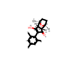 CC[C@]12CC[C@H](O1)[C@@H]1C(=O)C(c3c(C)cc(C)cc3C)=C(O)[C@@H]12